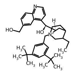 CCC1C[N+]2(Cc3cc(C(C)(C)C)cc(C(C)(C)C)c3)CCC1C[C@@H]2[C@@H](O)c1ccnc2ccc(CO)cc12